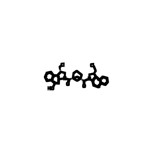 O=C(N1C[C@@H](CCl)c2c1c[c]c1ccccc21)[C@]12CCC[C@](C(=O)N3C[C@@H](CCl)c4c3cc(O)c3ccccc43)(C1)C2